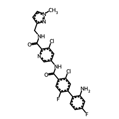 Cn1ccc(CNC(=O)c2ncc(NC(=O)c3cc(F)c(-c4ccc(F)cc4N)cc3Cl)cc2Cl)n1